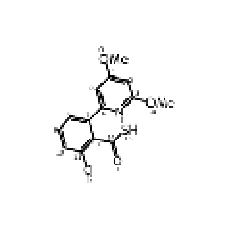 COc1cc(OC)nc(-c2cccc(Cl)c2C(=O)S)c1